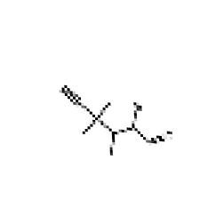 C#CC(C)(C)C(C)C(Br)C=O